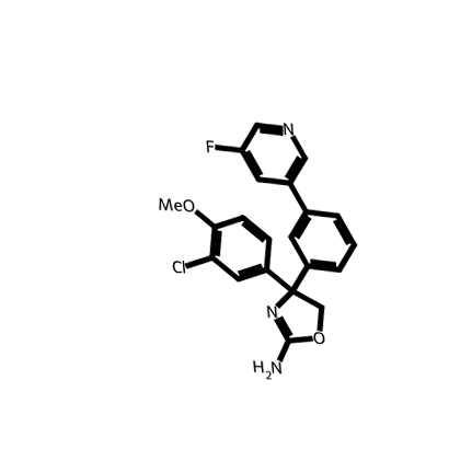 COc1ccc(C2(c3cccc(-c4cncc(F)c4)c3)COC(N)=N2)cc1Cl